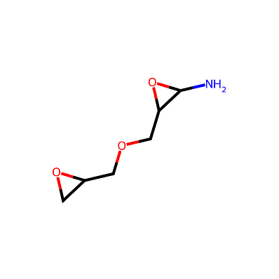 NC1OC1COCC1CO1